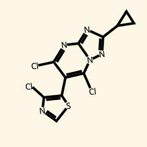 Clc1ncsc1-c1c(Cl)nc2nc(C3CC3)nn2c1Cl